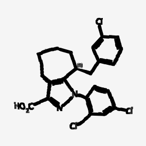 O=C(O)c1nn(-c2ccc(Cl)cc2Cl)c2c1CCCC[C@H]2Cc1cccc(Cl)c1